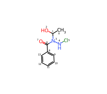 CC(O)N(NCl)C(=O)c1ccccc1